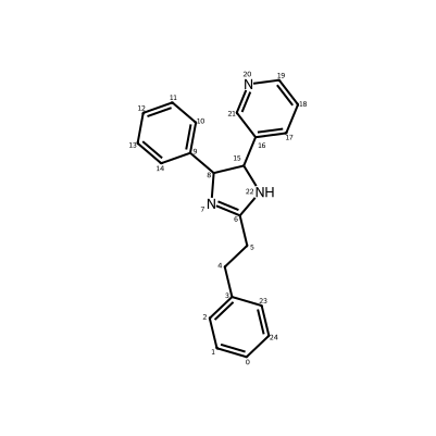 c1ccc(CCC2=NC(c3ccccc3)C(c3cccnc3)N2)cc1